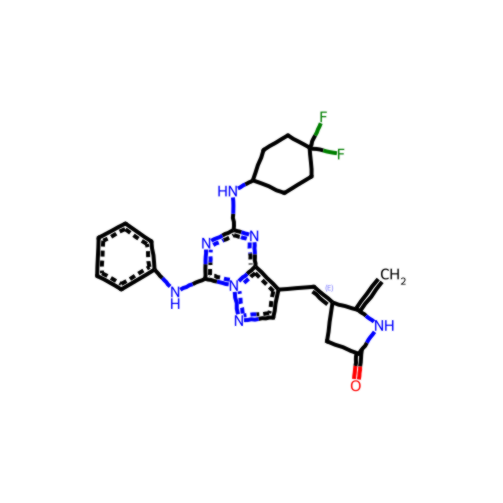 C=C1NC(=O)C/C1=C\c1cnn2c(Nc3ccccc3)nc(NC3CCC(F)(F)CC3)nc12